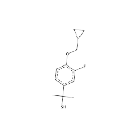 CC(C)(S)c1ccc(OCC2CC2)c(F)c1